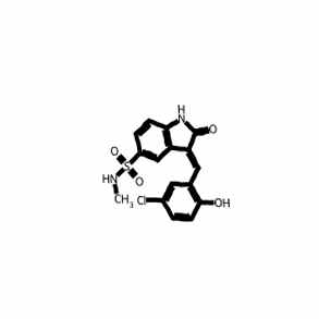 CNS(=O)(=O)c1ccc2c(c1)C(=Cc1cc(Cl)ccc1O)C(=O)N2